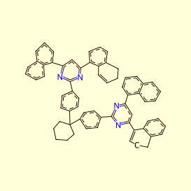 C1=Cc2c(cccc2-c2cc(-c3cccc4ccccc34)nc(-c3ccc(C4(c5ccc(-c6nc(C7=CCCc8ccccc87)cc(-c7cccc8ccccc78)n6)cc5)CCCCC4)cc3)n2)CC1